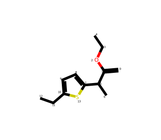 C=C(OCC)C(C)c1ccc(CC)s1